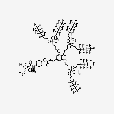 CCC(C)(C)C(=O)N[C@H]1CC[C@H](OC(=O)/C=C/c2cc(OCCCC(C)(OCCC(F)(F)C(F)(F)C(F)(F)C(F)(F)F)OCCC(F)(F)C(F)(F)C(F)(F)C(F)(F)F)c(OCCCC(C)(OCCC(F)(F)C(F)(F)C(F)(F)C(F)(F)F)OCCC(F)(F)C(F)(F)C(F)(F)C(F)(F)F)c(OCCCC(C)(OCCC(F)(F)C(F)(F)C(F)(F)C(F)(F)F)OCCC(F)(F)C(F)(F)C(F)(F)C(F)(F)F)c2)CC1